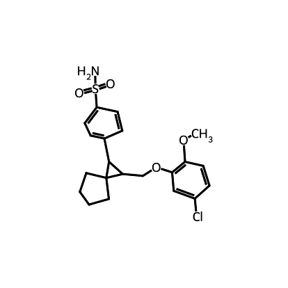 COc1ccc(Cl)cc1OCC1C(c2ccc(S(N)(=O)=O)cc2)C12CCCC2